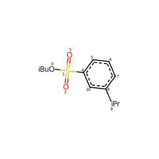 CC(C)COS(=O)(=O)c1cccc(C(C)C)c1